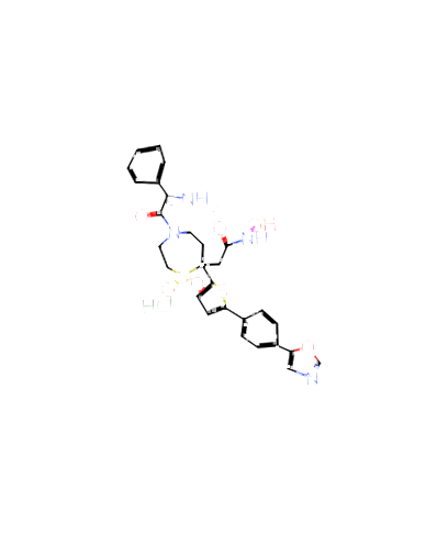 Cl.N[C@@H](C(=O)N1CCC(CC(=O)NO)(c2ccc(-c3ccc(-c4cnco4)cc3)s2)S(=O)(=O)CC1)c1ccccc1